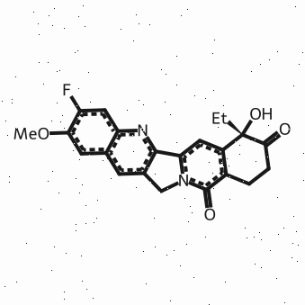 CC[C@@]1(O)C(=O)CCc2c1cc1n(c2=O)Cc2cc3cc(OC)c(F)cc3nc2-1